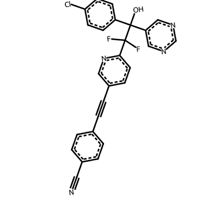 N#Cc1ccc(C#Cc2ccc(C(F)(F)C(O)(c3ccc(Cl)cc3)c3cncnc3)nc2)cc1